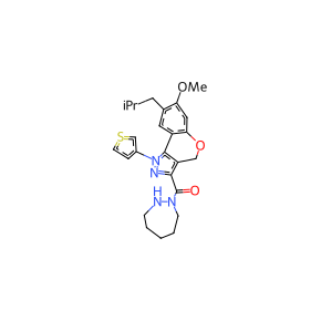 COc1cc2c(cc1CC(C)C)-c1c(c(C(=O)N3CCCCCN3)nn1-c1ccsc1)CO2